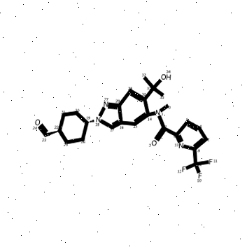 CN(C(=O)c1cccc(C(F)(F)F)n1)c1cc2cn([C@H]3CC[C@H](C=O)CC3)nc2cc1C(C)(C)O